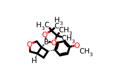 COc1ccc([C@@H]2C[C@H]3COC[C@]32B2OC(C)(C)C(C)(C)O2)cc1